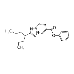 CCCC(CCC)c1cn2cc(C(=O)Oc3ccccc3)ccc2n1